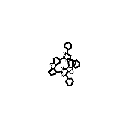 c1ccc(-c2cc(-c3ccccc3)nc(-c3ccc4sc5cccc(-c6nc(-c7ccccc7)c7oc8ccccc8c7n6)c5c4c3)n2)cc1